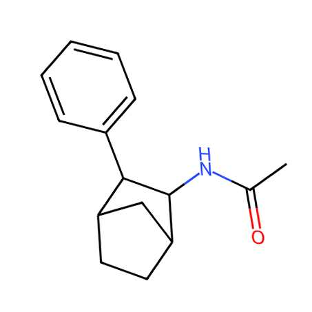 CC(=O)NC1C2CCC(C2)C1c1ccccc1